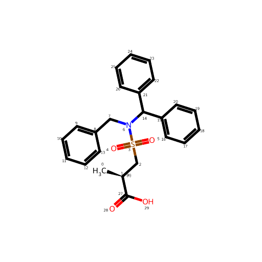 C[C@@H](CS(=O)(=O)N(Cc1ccccc1)C(c1ccccc1)c1ccccc1)C(=O)O